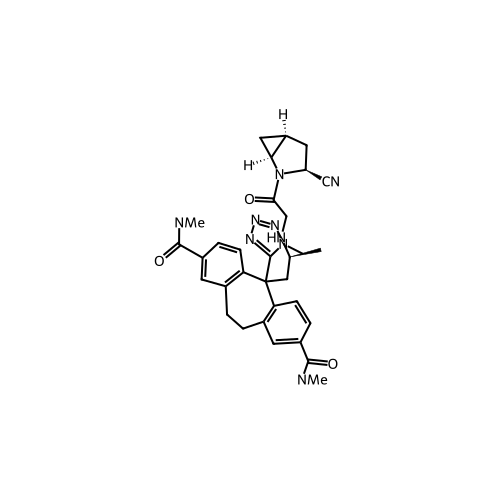 CNC(=O)c1ccc2c(c1)CCc1cc(C(=O)NC)ccc1C2(C[C@H](C)NCC(=O)N1[C@H](C#N)C[C@@H]2C[C@@H]21)c1nnnn1C